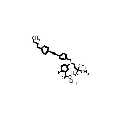 CCCCc1ccc(C#Cc2ccc(CN(CCC(C)(C)C)c3ccc(F)c(C(=O)OC)c3)cc2)cc1